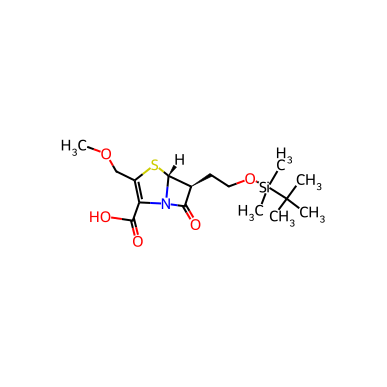 COCC1=C(C(=O)O)N2C(=O)[C@H](CCO[Si](C)(C)C(C)(C)C)[C@H]2S1